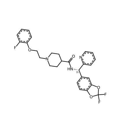 O=C(N[C@@H](c1ccc2c(c1)OC(F)(F)O2)c1ccccn1)C1CCN(CCOc2ccccc2F)CC1